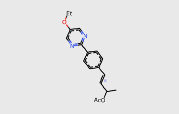 CCOc1cnc(-c2ccc(/C=C/C(C)OC(C)=O)cc2)nc1